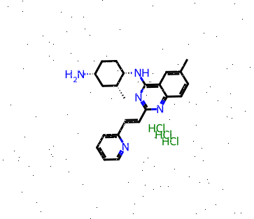 Cc1ccc2nc(C=Cc3ccccn3)nc(N[C@H]3CC[C@@H](N)C[C@H]3C)c2c1.Cl.Cl.Cl